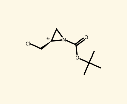 CC(C)(C)OC(=O)N1C[C@@H]1CCl